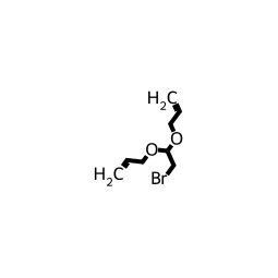 C=CCOC(CBr)OCC=C